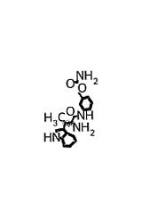 C[C@@H](c1c[nH]c2ccccc12)[C@@H](N)C(=O)Nc1cccc(COC(N)=O)c1